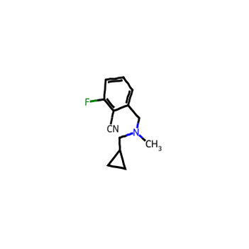 CN(Cc1cccc(F)c1C#N)CC1CC1